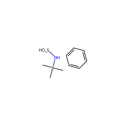 C[Si](C)(C)NS(=O)(=O)O.c1ccccc1